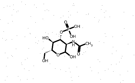 CC(=O)N[C@H]1C(O)O[C@H](CO)[C@@H](O)[C@@H]1OP(=O)(O)O